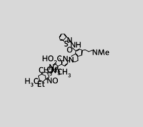 CCC1(C)CC2(C)CC(C)(Cn3ncc(-c4ccc(N5CCc6cc(CCCNC)cc(C(=O)Nc7nc8ccccc8s7)c6C5)nc4C(=O)O)c3C)CC(N=O)(C1)C2